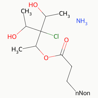 CCCCCCCCCCCC(=O)OC(C)C(Cl)(C(C)O)C(C)O.N